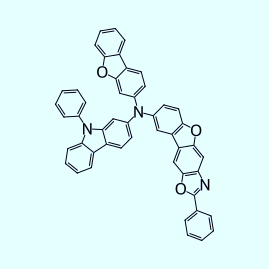 c1ccc(-c2nc3cc4oc5ccc(N(c6ccc7c(c6)oc6ccccc67)c6ccc7c8ccccc8n(-c8ccccc8)c7c6)cc5c4cc3o2)cc1